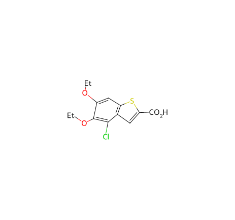 CCOc1cc2sc(C(=O)O)cc2c(Cl)c1OCC